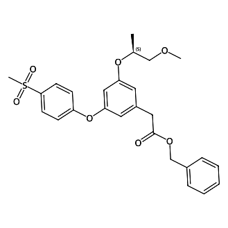 COC[C@H](C)Oc1cc(CC(=O)OCc2ccccc2)cc(Oc2ccc(S(C)(=O)=O)cc2)c1